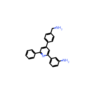 NCc1ccc(-c2cc(-c3ccccc3)nc(-c3cccc(N)c3)c2)cc1